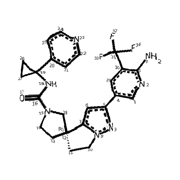 Nc1ncc(-c2cc3n(n2)CC[C@@]32CCN(C(=O)NC3(c4ccncc4)CC3)C2)cc1C(F)(F)F